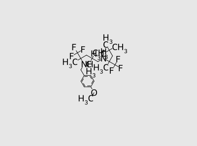 COc1ccc(CNC(C)(CC(C)(C)CNC(C)(CC(C)(C)C)C(F)(F)F)C(F)(F)F)cc1